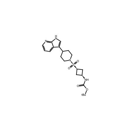 CC(C)(C)OC(=O)N[C@H]1C[C@@H](S(=O)(=O)N2CCC(c3c[nH]c4ncccc34)CC2)C1